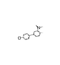 CN(C)c1[c]ccc(-c2ccc(Cl)cc2)c1